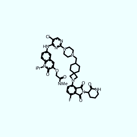 CNC(=O)COc1cc2cc(Nc3nc(N4CCN(CC5CCC6(CC5)CN(c5ccc(F)c7c5C(=O)N(C5CCCNC5=O)C7=O)C6)CC4)ncc3Cl)ccc2n(C(C)C)c1=O